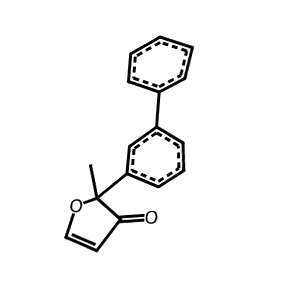 CC1(c2cccc(-c3ccccc3)c2)OC=CC1=O